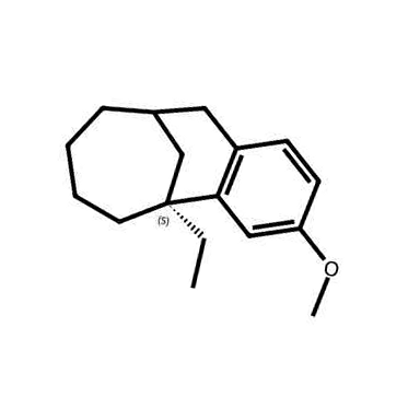 CC[C@@]12CCCCC(Cc3ccc(OC)cc31)C2